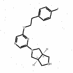 Fc1ccc(CCOc2cncc(N3C[C@H]4CNC[C@H]4C3)n2)cc1